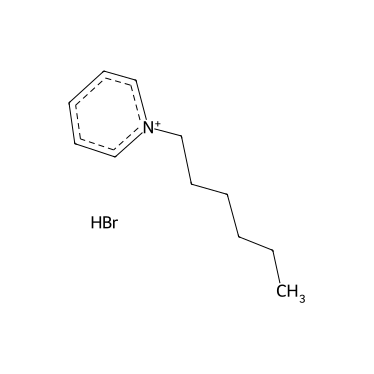 Br.CCCCCC[n+]1ccccc1